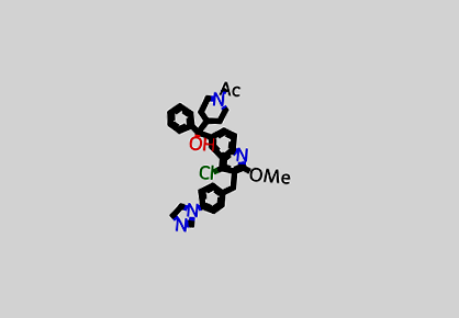 COc1nc2ccc(C(O)(c3ccccc3)C3CCN(C(C)=O)CC3)cc2c(Cl)c1Cc1ccc(N2C=NCC2)cc1